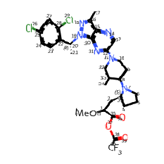 COC(C[C@@H]1CCCN1C1CCN(c2cnc3c(C)nn([C@H](C)c4ccc(Cl)cc4Cl)c3n2)CC1C)C(=O)OC(=O)C(F)(F)F